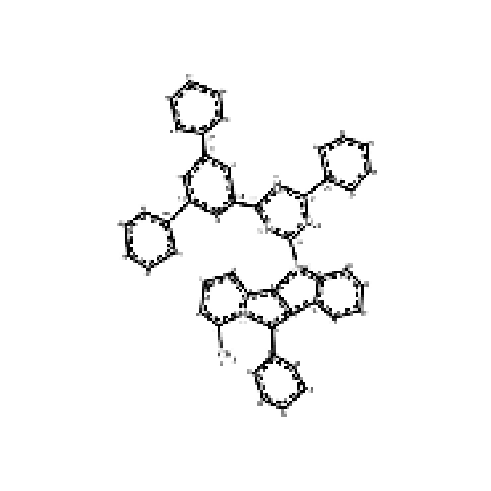 Cc1cccc2c3c(c(-c4ccccc4)n12)c1ccccc1n3-c1nc(-c2ccccc2)nc(-c2cc(-c3ccccc3)cc(-c3ccccc3)c2)n1